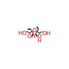 C=CC(C=C)(OC(C=C)(C=C)C(O)CO)C(O)CO